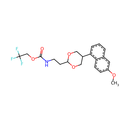 COc1ccc2c(C3COC(CCNC(=O)OCC(F)(F)F)OC3)cccc2c1